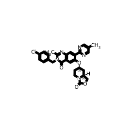 Cc1cnc(-c2cc3nc(C)n(Cc4ccc(Cl)cc4)c(=O)c3cc2O[C@H]2CCN3C(=O)OC[C@@H]3C2)nc1